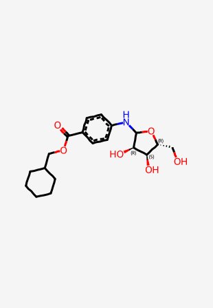 O=C(OCC1CCCCC1)c1ccc(NC2O[C@H](CO)[C@@H](O)[C@H]2O)cc1